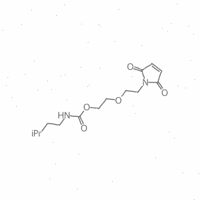 CC(C)CCNC(=O)OCCOCCN1C(=O)C=CC1=O